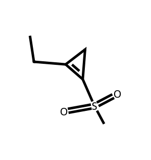 CCC1=C(S(C)(=O)=O)C1